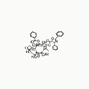 CC(=O)O[C@H]1C(=O)[C@@]2(C)C(C[C@H](OC(=O)c3ccccc3)[C@]3(O)CC(OC(=O)C4OC(c5ccccc5)=NC4c4ccccc4)C(C)=C1C3(C)C)[C@]1(OC(C)=O)CO[C@@H]1C[C@@H]2O